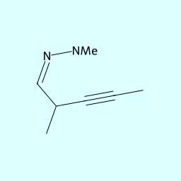 CC#CC(C)/C=N\NC